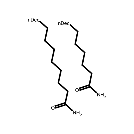 CCCCCCCCCCCCCCCC(N)=O.CCCCCCCCCCCCCCCCCC(N)=O